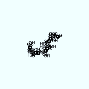 COc1ccc(N=Nc2c(S(=O)(=O)O)cc3cc(S(=O)(=O)O)c(N=Nc4c(S(=O)(=O)O)cc5cc(S(=O)(=O)O)c(N=Nc6ccc7cc(S(=O)(=O)O)c(N=Nc8cc(S(=O)(=O)O)ccc8S(=O)(=O)O)c(O)c7c6)c(N)c5c4O)cc3c2O)c(S(=O)(=O)O)c1